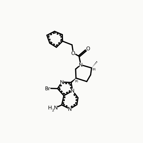 C[C@@H]1CC[C@@H](c2nc(Br)c3c(N)nccn23)CN1C(=O)OCc1ccccc1